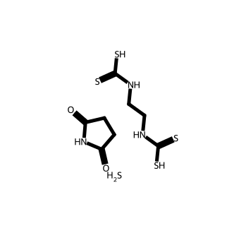 O=C1CCC(=O)N1.S.S=C(S)NCCNC(=S)S